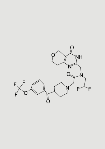 O=C(c1cccc(OC(F)(F)F)c1)C1CCN(CC(=O)N(Cc2nc3c(c(=O)[nH]2)COCC3)CC(F)F)CC1